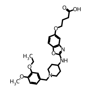 CCOc1cc(CN2CCC(Nc3nc4cc(OCCCC(=O)O)ccc4o3)CC2)ccc1OC